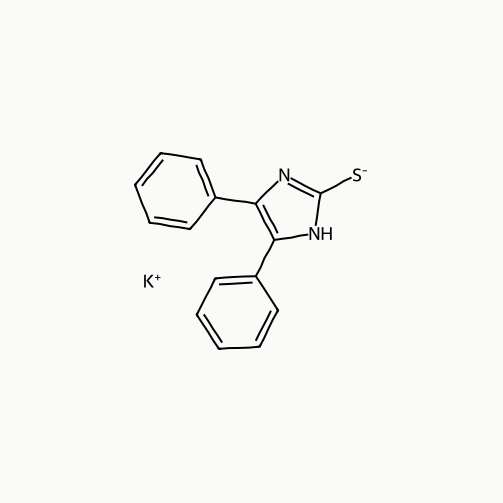 [K+].[S-]c1nc(-c2ccccc2)c(-c2ccccc2)[nH]1